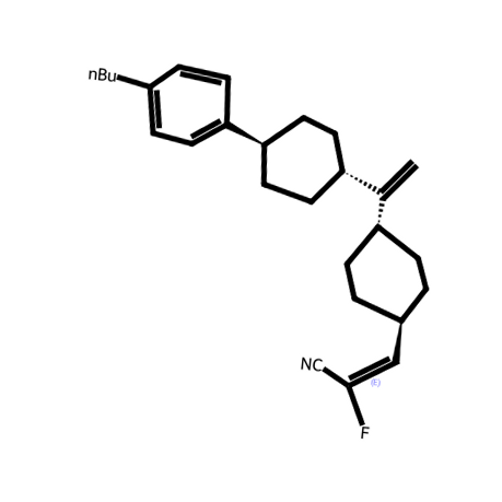 C=C([C@H]1CC[C@H](/C=C(/F)C#N)CC1)[C@H]1CC[C@H](c2ccc(CCCC)cc2)CC1